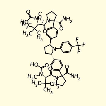 CN(C(=O)O)[C@H](C(=O)N1CCC[C@@]1(C(N)=O)c1ccc([C@@H]2CC[C@@H](c3ccc([C@]4(C(N)=O)CCCN4C(=O)[C@@H](N(C)C(=O)O)C(C)(C)C)cc3)N2c2ccc(C(F)(F)F)cc2)cc1)C(C)(C)C